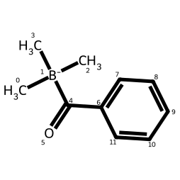 C[B-](C)(C)C(=O)c1ccccc1